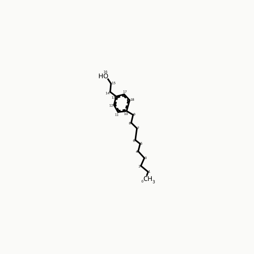 CCCCCCCCCCc1ccc(CCO)cc1